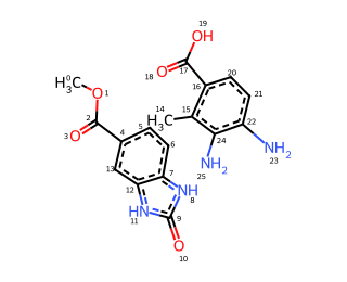 COC(=O)c1ccc2[nH]c(=O)[nH]c2c1.Cc1c(C(=O)O)ccc(N)c1N